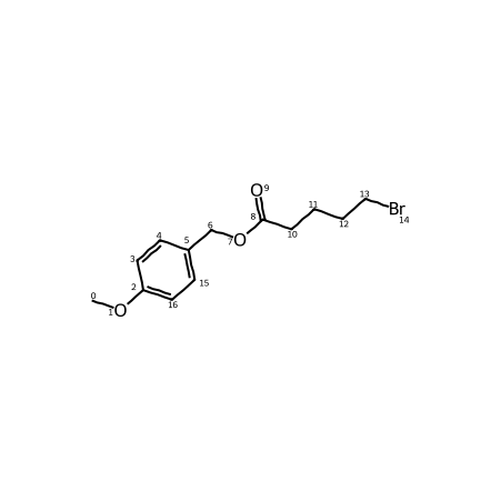 COc1ccc(COC(=O)CCCCBr)cc1